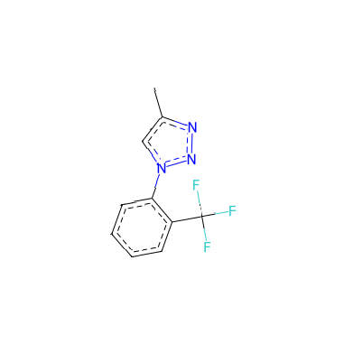 Cc1cn(-c2ccccc2C(F)(F)F)nn1